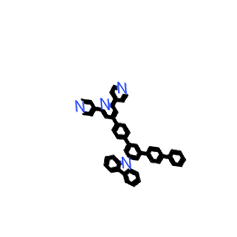 c1ccc(-c2ccc(-c3cc(-c4ccc(-c5cc(-c6ccncc6)nc(-c6ccncc6)c5)cc4)cc(-n4c5ccccc5c5ccccc54)c3)cc2)cc1